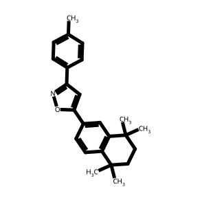 Cc1ccc(-c2cc(-c3ccc4c(c3)C(C)(C)CCC4(C)C)on2)cc1